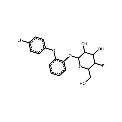 CCc1ccc(Oc2ccccc2OC2OC(CO)C(F)C(O)C2O)cc1